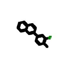 Cc1ccc(-c2ccc3ccccc3c2)cc1F